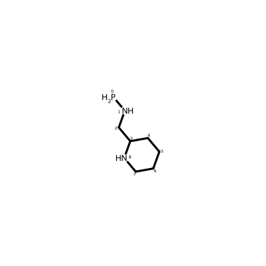 PNCC1CCCCN1